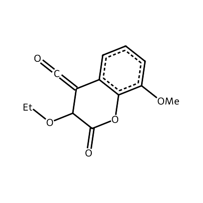 CCOC1C(=O)Oc2c(OC)cccc2C1=C=O